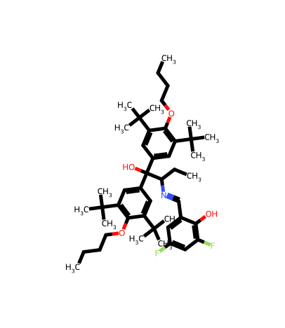 CCCCOc1c(C(C)(C)C)cc(C(O)(c2cc(C(C)(C)C)c(OCCCC)c(C(C)(C)C)c2)C(CC)N=Cc2cc(F)cc(F)c2O)cc1C(C)(C)C